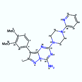 COc1ccc(-c2c(C)nn3c(N)nc(N4CCN(c5ccccn5)CC4)nc23)cc1OC